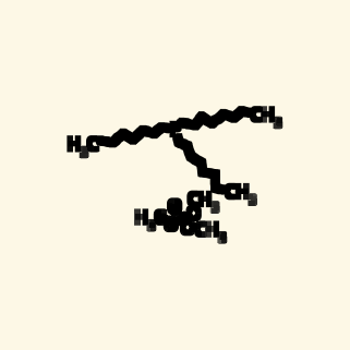 CCCCCCCCP(CCCCCCCC)CCCCCCCC.COP(=O)(OC)OC